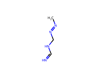 C/N=N/CNC=N